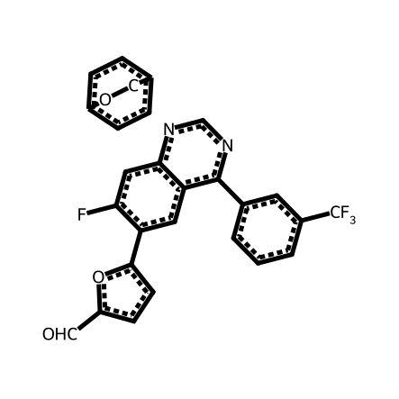 O=Cc1ccc(-c2cc3c(-c4cccc(C(F)(F)F)c4)ncnc3cc2F)o1.c1cc2ccc1CO2